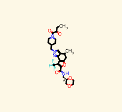 CCC(=O)C(=O)N1CCC(Cn2cc3c(n2)-c2c(oc(C(=O)NC[C@@H]4COCCO4)c2C(F)(F)F)CC3C)CC1